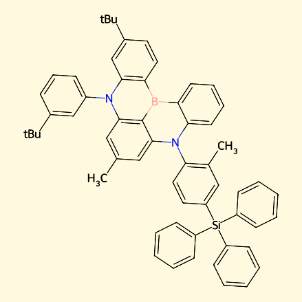 Cc1cc2c3c(c1)N(c1ccc([Si](c4ccccc4)(c4ccccc4)c4ccccc4)cc1C)c1ccccc1B3c1ccc(C(C)(C)C)cc1N2c1cccc(C(C)(C)C)c1